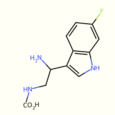 NC(CNC(=O)O)c1c[nH]c2cc(F)ccc12